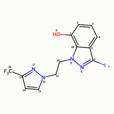 Oc1cccc2c(I)nn(CCn3ccc(C(F)(F)F)n3)c12